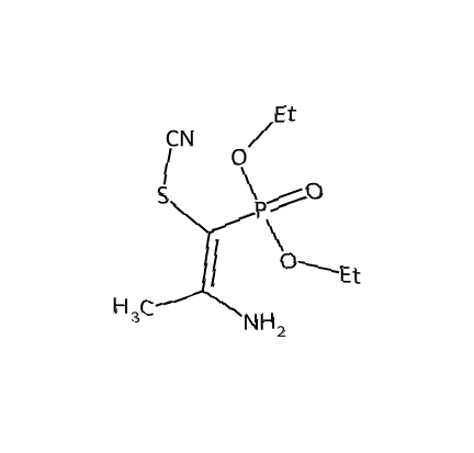 CCOP(=O)(OCC)/C(SC#N)=C(/C)N